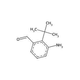 CC(C)(C)c1c(N)cccc1C=O